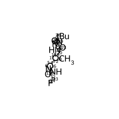 Cc1cc(-c2ccnc(NC(=O)[C@@H]3C[C@H]3F)c2)ccc1CNC(=O)c1noc(C(C)(C)C)n1